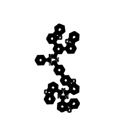 c1ccc(-c2nc(-c3ccc(-c4ccc5c(c4)oc4cccc(-c6nc(-c7cccc8oc9ccccc9c78)nc(-c7cccc8oc9ccccc9c78)n6)c45)cc3)nc(-c3cc(-c4cccc5c4oc4ccccc45)cc(-c4cccc5c4oc4ccccc45)c3)n2)cc1